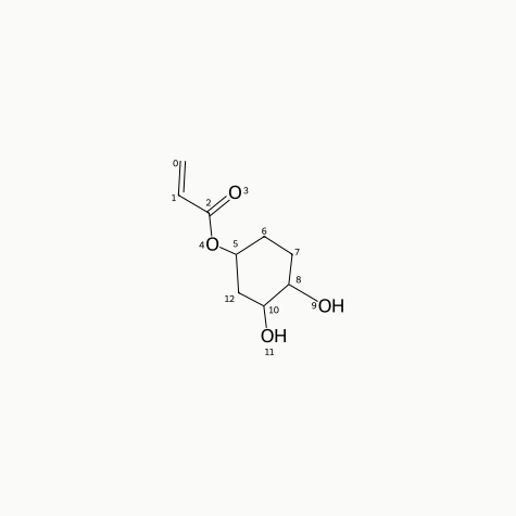 C=CC(=O)OC1CCC(O)C(O)C1